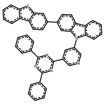 c1ccc(-c2nc(-c3ccccc3)nc(-c3cncc(-n4c5ccccc5c5ccc(-c6ccc7c(c6)sc6ccccc67)cc54)c3)n2)cc1